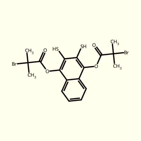 CC(C)(Br)C(=O)Oc1c(S)c(S)c(OC(=O)C(C)(C)Br)c2ccccc12